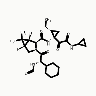 CC[C@@H]1C[C@@]1(NC(=O)[C@@H]1[C@@H]2[C@H](CN1C(=O)[C@@H](NC=O)C1CCCCC1)C2(C)C)C(=O)C(=O)NC1CC1